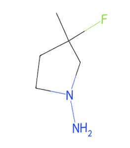 CC1(F)CCN(N)C1